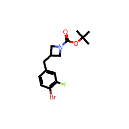 CC(C)(C)OC(=O)N1CC(Cc2ccc(Br)c(F)c2)C1